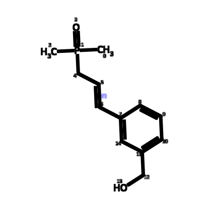 CP(C)(=O)C/C=C/c1cccc(CO)c1